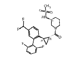 CS(=O)(=O)N[C@H]1CCCN(C(=O)[C@@H]2C[C@H]2c2ccc(C(F)F)cc2-c2c(F)cccc2F)C1